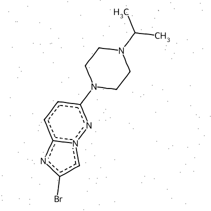 CC(C)N1CCN(c2ccc3nc(Br)cn3n2)CC1